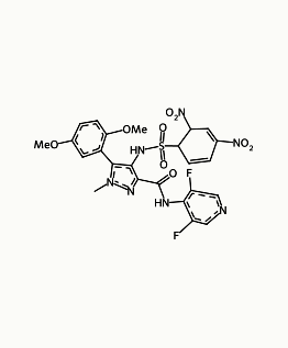 COc1ccc(OC)c(-c2c(NS(=O)(=O)C3C=CC([N+](=O)[O-])=CC3[N+](=O)[O-])c(C(=O)Nc3c(F)cncc3F)nn2C)c1